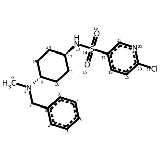 CN(Cc1ccccc1)[C@H]1CC[C@H](NS(=O)(=O)c2ccc(Cl)nc2)CC1